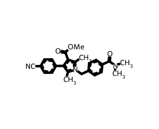 COC(=O)c1c(-c2ccc(C#N)cc2)c(C)n(Cc2ccc(C(=O)N(C)C)cc2)c1C